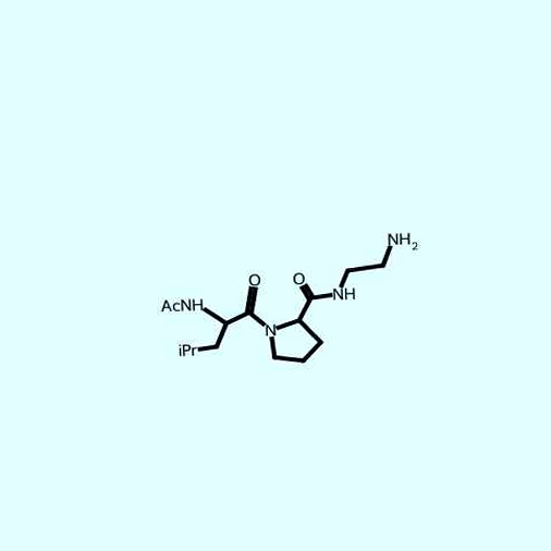 CC(=O)NC(CC(C)C)C(=O)N1CCCC1C(=O)NCCN